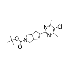 Cc1nc(C2=CC3CN(C(=O)OC(C)(C)C)CC3C2)nc(C)c1Cl